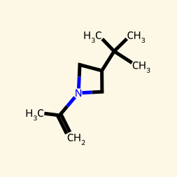 C=C(C)N1CC(C(C)(C)C)C1